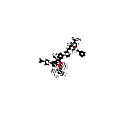 CCn1c(-c2cc(N3CCN(C4CC4)CC3)cnc2[C@H](C)OC)c(CC(C)(C)CO[Si](C)(C)C(C)(C)C)c2cc(N3CCOC(CC(NC(=O)OCc4ccccc4)C(=O)N4CCCC(C(=O)O)N4)C3)ccc21